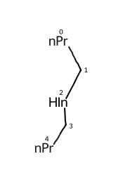 CCC[CH2][InH][CH2]CCC